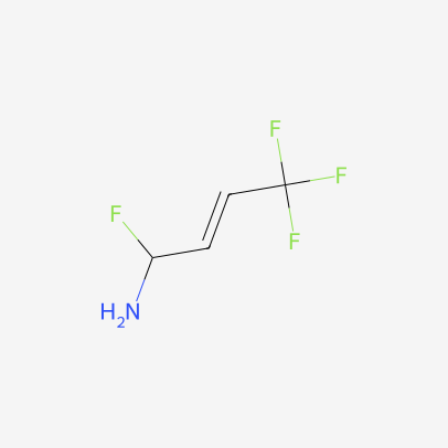 NC(F)C=CC(F)(F)F